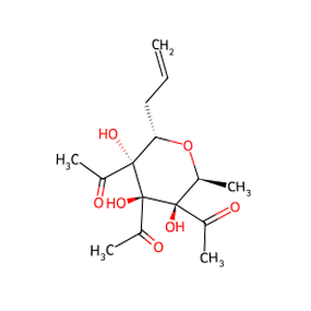 C=CC[C@@H]1O[C@@H](C)[C@](O)(C(C)=O)[C@](O)(C(C)=O)[C@@]1(O)C(C)=O